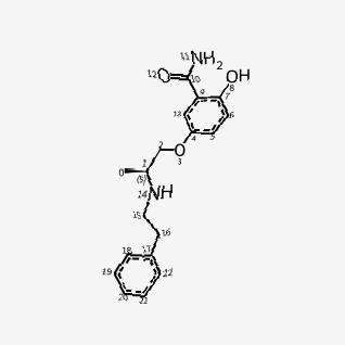 C[C@@H](COc1ccc(O)c(C(N)=O)c1)NC[CH]c1ccccc1